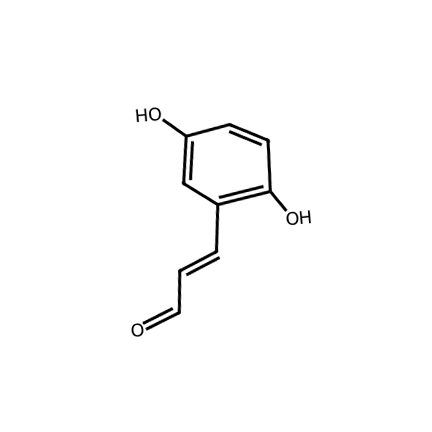 O=CC=Cc1cc(O)ccc1O